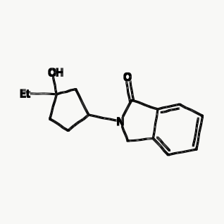 CCC1(O)CCC(N2Cc3ccccc3C2=O)C1